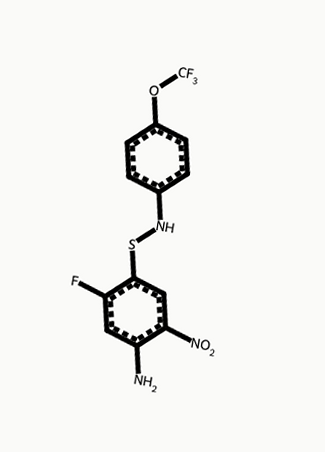 Nc1cc(F)c(SNc2ccc(OC(F)(F)F)cc2)cc1[N+](=O)[O-]